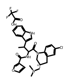 CC(c1c[nH]c2ccccc12)C(NC(=O)c1ccoc1)C(=O)N1C[C@@H](CN(C)C)Cc2cc(Cl)ccc21.O=C(O)C(F)(F)F